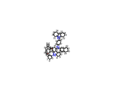 c1ccc2c(c1)-n1c3ccccc3c3c(N(c4ccc(-n5c6ccccc6c6ccccc65)cc4)c4ccc5ccccc5c4)ccc(c31)C21[C@H]2CC3C[C@H](C2)C[C@@H]1C3